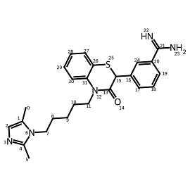 Cc1cnc(C)n1CCCCCN1C(=O)C(c2cccc(C(=N)N)c2)Sc2ccccc21